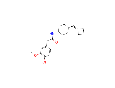 COc1cc(CC(=O)N[C@H]2CC[C@H](C=C3CCC3)CC2)ccc1O